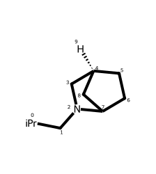 CC(C)CN1C[C@H]2CCC1C2